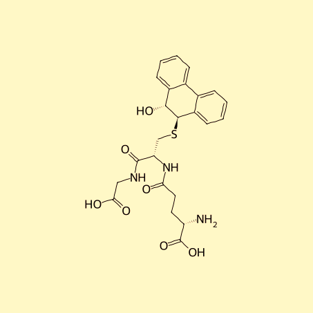 N[C@@H](CCC(=O)N[C@@H](CS[C@@H]1c2ccccc2-c2ccccc2[C@H]1O)C(=O)NCC(=O)O)C(=O)O